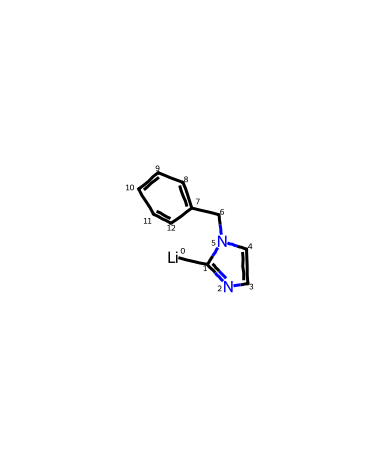 [Li][c]1nccn1Cc1ccccc1